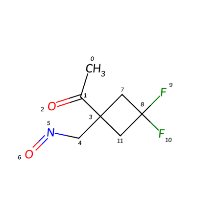 CC(=O)C1(CN=O)CC(F)(F)C1